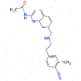 CC(=O)Nc1ccc2ccc(CNCCc3ccc(C#N)c(C)c3)cc2n1